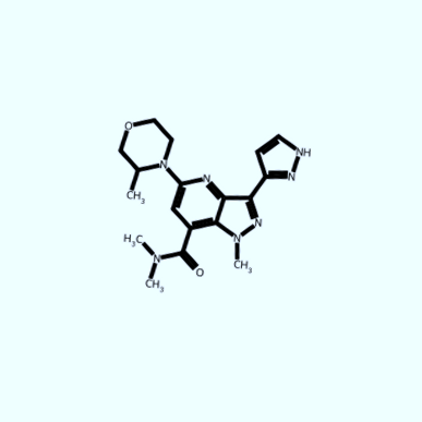 CC1COCCN1c1cc(C(=O)N(C)C)c2c(n1)c(-c1cc[nH]n1)nn2C